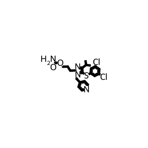 CC(C)c1nc(CCCOC(N)=O)n(Cc2ccncc2)c1Sc1cc(Cl)cc(Cl)c1